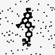 O=C(O)Oc1cn(C2CC2)c2cc(N3CCN(SC(F)(Cl)Cl)CC3)c(F)cc2c1=O